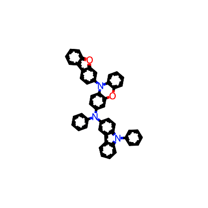 c1ccc(N(c2ccc3c(c2)Oc2ccccc2N3c2ccc3c(c2)oc2ccccc23)c2ccc3c(c2)c2ccccc2n3-c2ccccc2)cc1